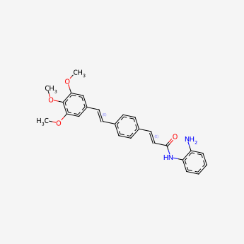 COc1cc(/C=C/c2ccc(/C=C/C(=O)Nc3ccccc3N)cc2)cc(OC)c1OC